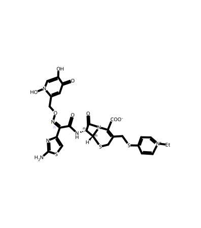 CC[n+]1ccc(SCC2=C(C(=O)[O-])N3C(=O)[C@@H](NC(=O)/C(=N\OCc4cc(=O)c(O)cn4O)c4csc(N)n4)[C@H]3SC2)cc1